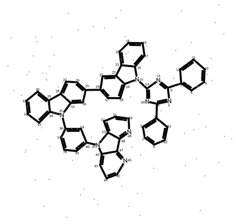 c1ccc(-c2nc(-c3ccccc3)nc(-n3c4ccccc4c4cc(-c5ccc6c7ccccc7n(-c7cccc(-n8c9cccnc9c9ncccc98)c7)c6c5)ccc43)n2)cc1